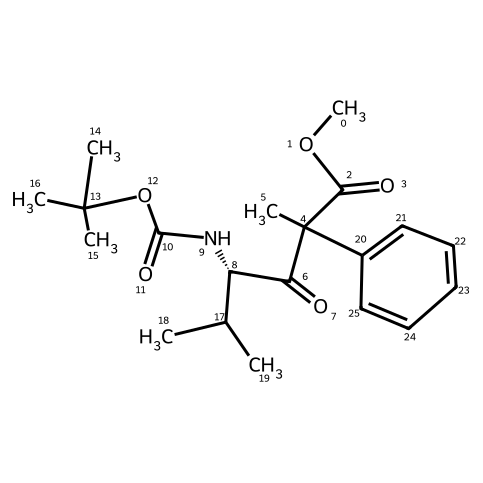 COC(=O)C(C)(C(=O)[C@@H](NC(=O)OC(C)(C)C)C(C)C)c1ccccc1